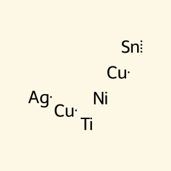 [Ag].[Cu].[Cu].[Ni].[Sn].[Ti]